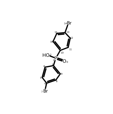 O=P(O)(c1ccc(Br)cc1)c1ccc(Br)cc1